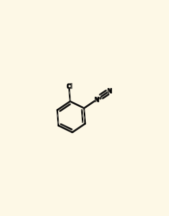 N#[N+]c1ccccc1Cl